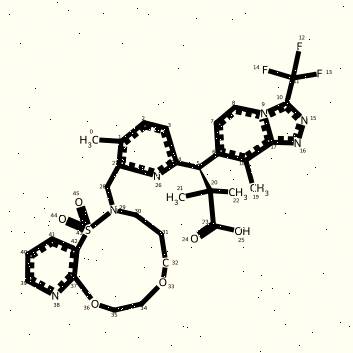 Cc1ccc([C@@H](c2ccn3c(C(F)(F)F)nnc3c2C)C(C)(C)C(=O)O)nc1CN1CCCOCCOc2ncccc2S1(=O)=O